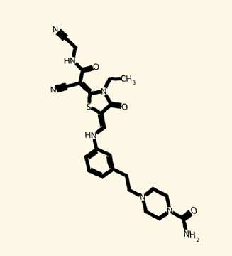 CCn1c(=C(C#N)C(=O)NCC#N)sc(=CNc2cccc(CCN3CCN(C(N)=O)CC3)c2)c1=O